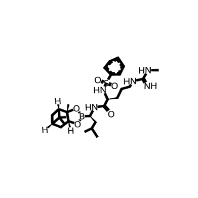 CNC(=N)NCCC[C@H](NS(=O)(=O)c1ccccc1)C(=O)N[C@@H](CC(C)C)B1O[C@@H]2C[C@@H]3C[C@@H](C3(C)C)[C@]2(C)O1